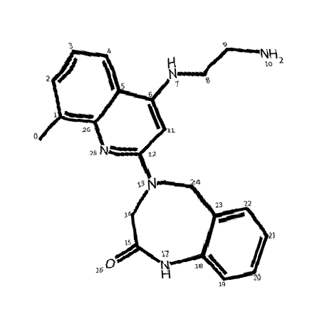 Cc1cccc2c(NCCN)cc(N3CC(=O)Nc4ccccc4C3)nc12